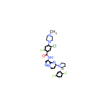 CN1CCN(c2cc(F)c(C(=O)Nc3cnn4ccc(N5CCC[C@@H]5c5cc(F)ccc5F)nc34)cc2Cl)CC1